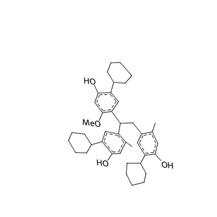 COc1cc(O)c(C2CCCCC2)cc1C(Cc1cc(C2CCCCC2)c(O)cc1C)c1cc(C2CCCCC2)c(O)cc1C